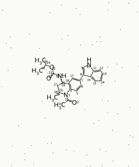 CC(=O)N1c2ccc(-c3c[nH]c4ccccc34)cc2[C@H](NC(=O)OC(C)C)C[C@@H]1C